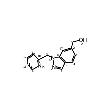 OCc1ccc2cnn(Cc3ccncn3)c2c1